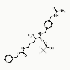 NC(=O)NCc1ccc(CNC(=O)[C@H](N)CCCNC(=O)OCc2ccccc2)cc1.O=C(O)C(F)(F)F